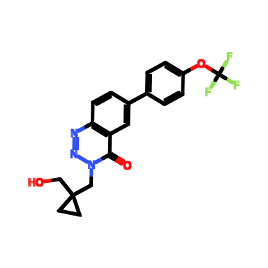 O=c1c2cc(-c3ccc(OC(F)(F)F)cc3)ccc2nnn1CC1(CO)CC1